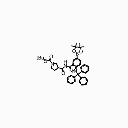 CC(C)(C)OC(=O)N1CCC(C(=O)Nc2nn(C(c3ccccc3)(c3ccccc3)c3ccccc3)c3ccc(B4OC(C)(C)C(C)(C)O4)cc23)C1